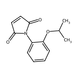 CC(C)Oc1ccccc1N1C(=O)C=CC1=O